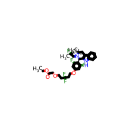 CCOC(=O)COCCC(F)(F)CCOc1cc(F)c([C@@H]2c3[nH]c4ccccc4c3C[C@@H](C)N2CC(C)(C)F)c(F)c1